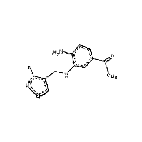 CCn1nncc1CNc1cc(C(=O)OC)ccc1N